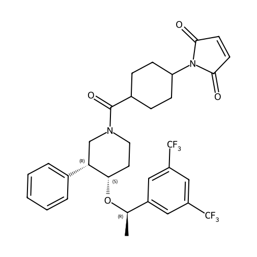 C[C@@H](O[C@H]1CCN(C(=O)C2CCC(N3C(=O)C=CC3=O)CC2)C[C@H]1c1ccccc1)c1cc(C(F)(F)F)cc(C(F)(F)F)c1